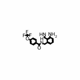 N=Cc1c(N)cccc1CNC(=O)c1ccc(OC(F)(F)F)cc1